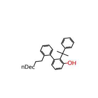 CCCCCCCCCCCCc1ccccc1-c1cccc(O)c1C(C)(C)c1ccccc1